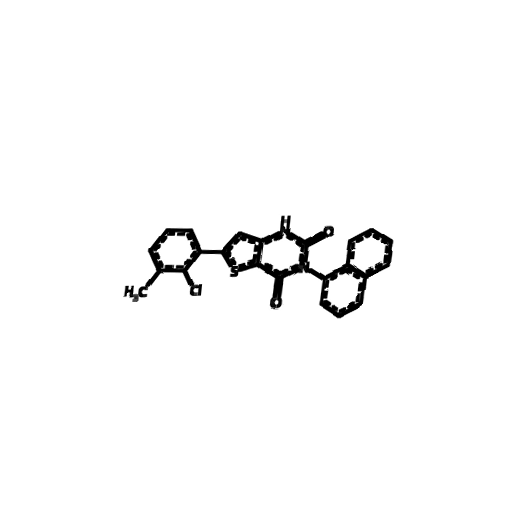 Cc1cccc(-c2cc3[nH]c(=O)n(-c4cccc5ccccc45)c(=O)c3s2)c1Cl